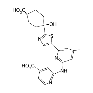 Cc1cc(Nc2cc(C(=O)O)ccn2)nc(-c2cnc([C@]3(O)CC[C@@H](C(=O)O)CC3)s2)c1